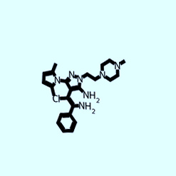 Cc1ccc(C)n1-c1nn(CCN2CCN(C)CC2)c(N)c1/C(Cl)=C(\N)c1ccccc1